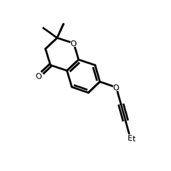 CCC#COc1ccc2c(c1)OC(C)(C)CC2=O